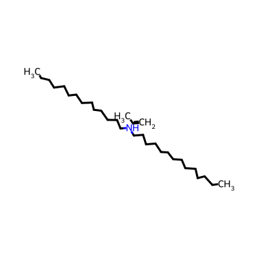 C=CC.CCCCCCCCCCCCCCNCCCCCCCCCCCCCC